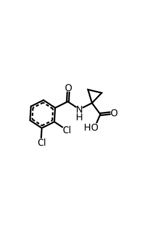 O=C(NC1(C(=O)O)CC1)c1cccc(Cl)c1Cl